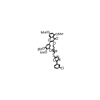 COc1cc(OC)c2c(=O)c(OCCCCSc3nnc(-c4cccc(Cl)c4)o3)c(-c3cc(OC)c(OC)c(OC)c3)oc2c1